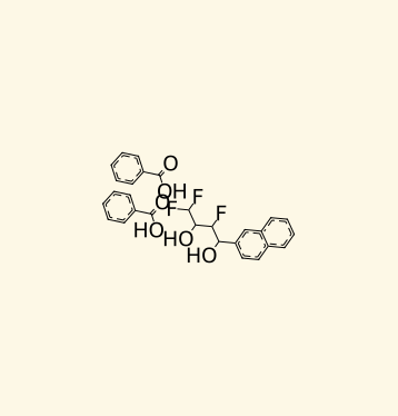 O=C(O)c1ccccc1.O=C(O)c1ccccc1.OC(c1ccc2ccccc2c1)C(F)C(O)C(F)F